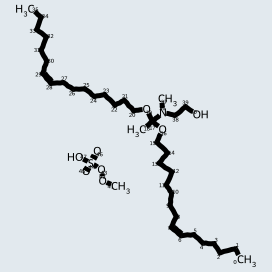 CCCCCC/C=C\CCCCCCCCOC(C)(OCCCCCCCC/C=C\CCCCCC)N(C)CCO.COOS(=O)(=O)O